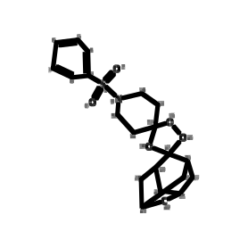 O=S(=O)(c1ccccc1)N1CCC2(CC1)OOC1(O2)C2CC3CC(C2)CC1C3